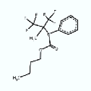 CCCCOC(=O)N(c1ccccc1)C(C)(C(F)(F)F)C(F)(F)F